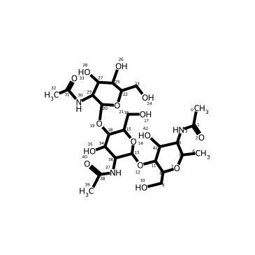 CC(=O)NC1C(C)OC(CO)C(OC2OC(CO)C(OC3OC(CO)C(O)C(O)C3NC(C)=O)C(O)C2NC(C)=O)C1O